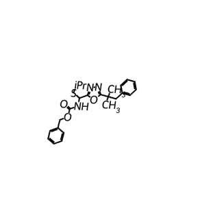 CC(C)SC(NC(=O)OCc1ccccc1)c1nnc(C(C)(C)Cc2ccccc2)o1